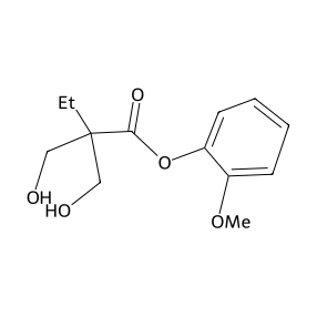 CCC(CO)(CO)C(=O)Oc1ccccc1OC